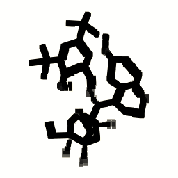 C=C[C@H]1CN2CC[C@H]1C[C@@H]2[C@H](N=Cc1cc(C(C)(C)C)cc(C(C)(C)C)c1O)c1ccnc2ccc(OC)cc12